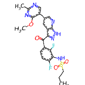 CCCS(=O)(=O)Nc1c(F)ccc(C(=O)c2n[nH]c3ncc(-c4cnc(C)nc4OC)cc23)c1F